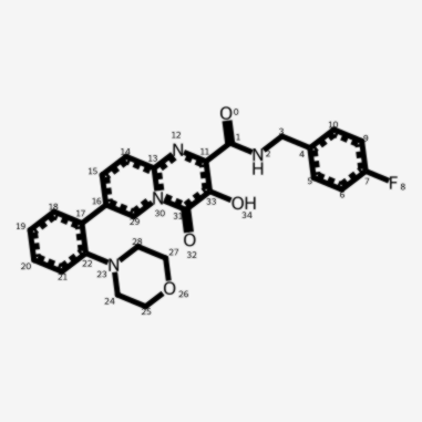 O=C(NCc1ccc(F)cc1)c1nc2ccc(-c3ccccc3N3CCOCC3)cn2c(=O)c1O